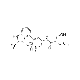 CN1CC(NC(=O)C(CO)CC(F)(F)F)C=C2c3cccc4[nH]c(C(F)(F)F)c(c34)C[C@H]21